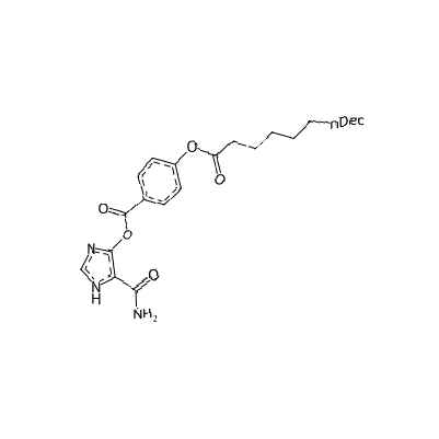 CCCCCCCCCCCCCCCC(=O)Oc1ccc(C(=O)Oc2nc[nH]c2C(N)=O)cc1